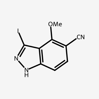 COc1c(C#N)ccc2[nH]nc(I)c12